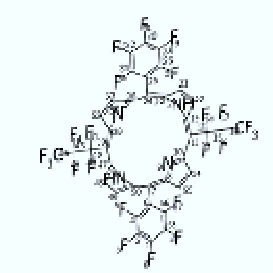 Fc1c(F)c(F)c(-c2c3nc(c(C(F)(F)C(F)(F)C(F)(F)F)c4ccc([nH]4)c(-c4c(F)c(F)c(F)c(F)c4F)c4nc(c(C(F)(F)C(F)(F)C(F)(F)F)c5ccc2[nH]5)C=C4)C=C3)c(F)c1F